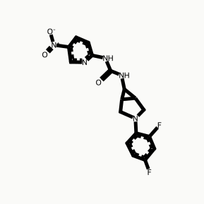 O=C(Nc1ccc([N+](=O)[O-])cn1)NC1C2CN(c3ccc(F)cc3F)CC21